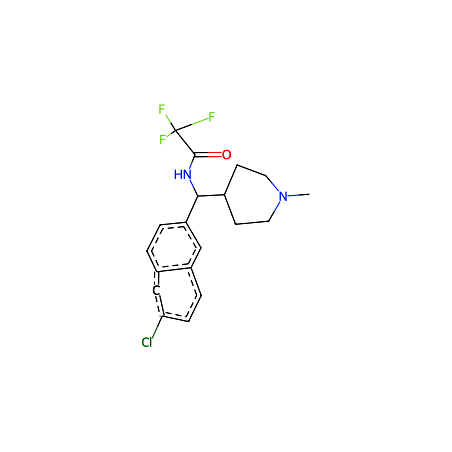 CN1CCC(C(NC(=O)C(F)(F)F)c2ccc3cc(Cl)ccc3c2)CC1